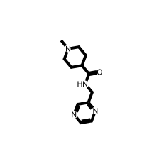 CN1CCC(C(=O)NCc2cnccn2)CC1